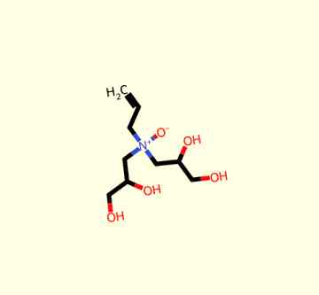 C=CC[N+]([O-])(CC(O)CO)CC(O)CO